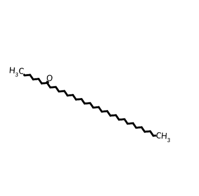 CCCCCCCCCCCCCCCCCCCCCCCCCCC(=O)CCCCCC